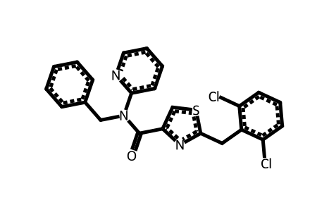 O=C(c1csc(Cc2c(Cl)cccc2Cl)n1)N(Cc1ccccc1)c1ccccn1